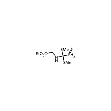 CCOC(=O)CNC([PH2]=S)(SC)SC